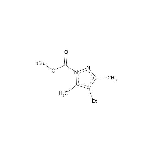 CCc1c(C)nn(C(=O)OC(C)(C)C)c1C